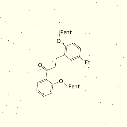 CCCC(C)Oc1ccc(CC)cc1CCC(=O)c1ccccc1OC(C)CCC